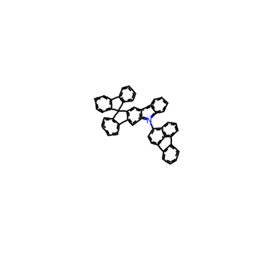 c1ccc2c(c1)-c1cccc3c(-n4c5ccccc5c5cc6c(cc54)-c4ccccc4C64c5ccccc5-c5ccccc54)ccc-2c13